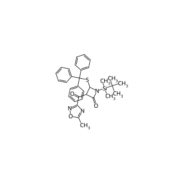 Cc1nc(C(=O)C2C(=O)N([Si](C)(C)C(C)(C)C)C2SC(c2ccccc2)(c2ccccc2)c2ccccc2)no1